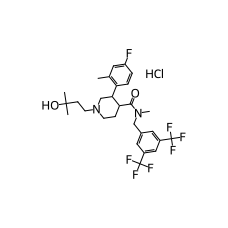 Cc1cc(F)ccc1C1CN(CCC(C)(C)O)CCC1C(=O)N(C)Cc1cc(C(F)(F)F)cc(C(F)(F)F)c1.Cl